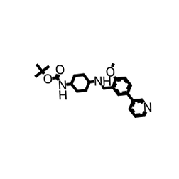 COc1ccc(-c2cccnc2)cc1CNC1CCC(NC(=O)OC(C)(C)C)CC1